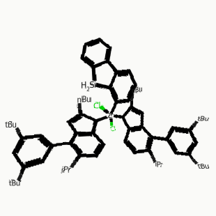 CCCCC1=Cc2c(ccc(C(C)C)c2-c2cc(C(C)(C)C)cc(C(C)(C)C)c2)[CH]1[Zr]([Cl])([Cl])([c]1cccc2c1[SiH2]c1ccccc1-2)[CH]1C(CCCC)=Cc2c1ccc(C(C)C)c2-c1cc(C(C)(C)C)cc(C(C)(C)C)c1